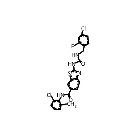 Cc1cccc(Cl)c1NC(=O)c1ccc2nc(NC(=O)NCc3ccc(Cl)cc3F)sc2c1